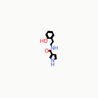 O=C(NCCc1ccccc1O)c1cc[nH]c1